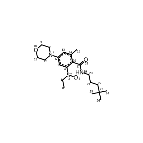 CC[S+]([O-])c1cc(N2CCOCC2)cc(C)c1C(=O)NCCCC(C)(C)C